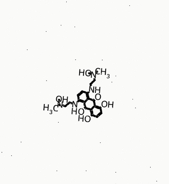 CN(O)CCNc1ccc(NCCN(C)O)c2c1C(=O)c1c(O)ccc(O)c1C2=O